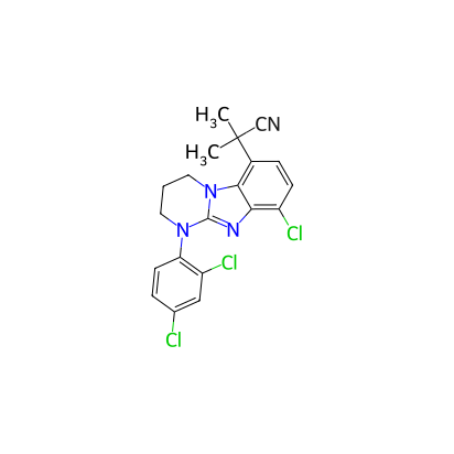 CC(C)(C#N)c1ccc(Cl)c2nc3n(c12)CCCN3c1ccc(Cl)cc1Cl